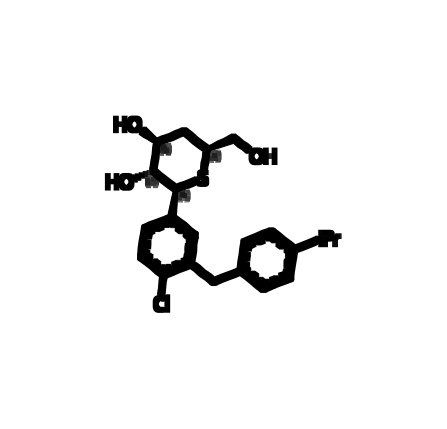 CC(C)c1ccc(Cc2cc([C@@H]3S[C@H](CO)C[C@H](O)[C@H]3O)ccc2Cl)cc1